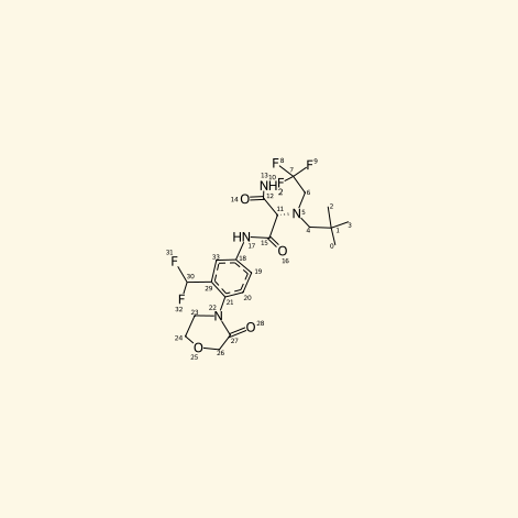 CC(C)(C)CN(CC(F)(F)F)[C@@H](C(N)=O)C(=O)Nc1ccc(N2CCOCC2=O)c(C(F)F)c1